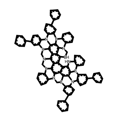 B1CN2c3ccccc3B3c4cc(-c5ccccc5)ccc4N4c5ccc(-c6ccccc6)cc5B5CN6CB7c8ccccc8N8CB9c%10cc(-c%11ccccc%11)ccc%10N%10c%11ccc(-c%12ccccc%12)cc%11B%11c%12ccccc%12Nc%12c%11c%10c9c9c8c7c7c6c6c5c4c3c2c6c1c7c%129